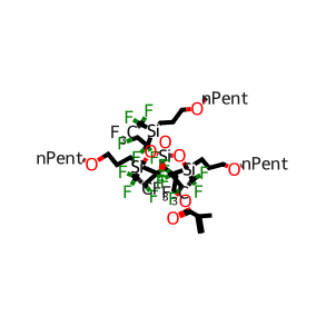 C=C(C)C(=O)OCCC[Si](O[Si](CCCOCCCCC)(C(F)(F)CF)C(F)(F)C(F)(F)F)(O[Si](CCCOCCCCC)(C(F)(F)CF)C(F)(F)C(F)(F)F)O[Si](CCCOCCCCC)(C(F)(F)CF)C(F)(F)C(F)(F)F